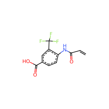 C=CC(=O)Nc1ccc(C(=O)O)cc1C(F)(F)F